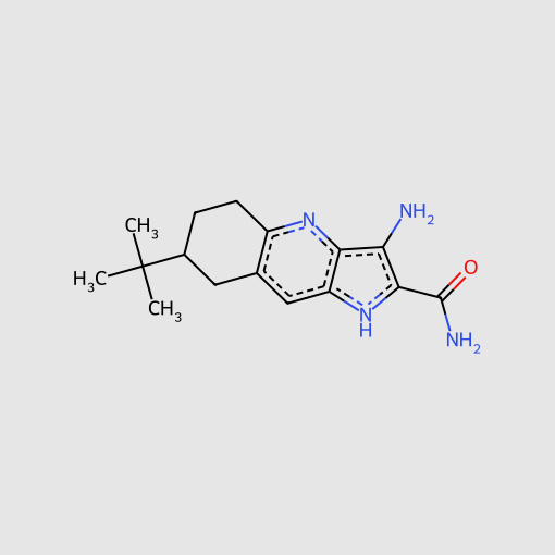 CC(C)(C)C1CCc2nc3c(N)c(C(N)=O)[nH]c3cc2C1